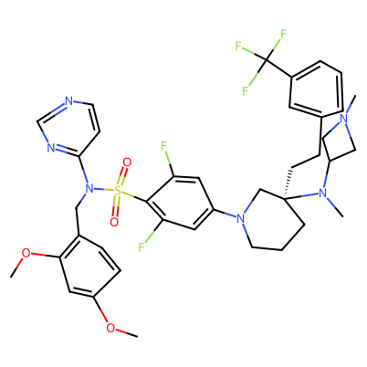 COc1ccc(CN(c2ccncn2)S(=O)(=O)c2c(F)cc(N3CCC[C@](CCc4cccc(C(F)(F)F)c4)(N(C)C4CN(C)C4)C3)cc2F)c(OC)c1